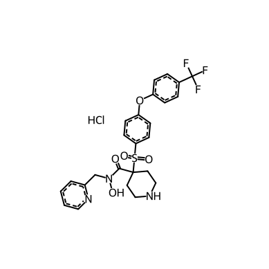 Cl.O=C(N(O)Cc1ccccn1)C1(S(=O)(=O)c2ccc(Oc3ccc(C(F)(F)F)cc3)cc2)CCNCC1